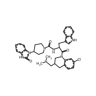 CN(C)CC1Cc2ccc(Cl)cc2N(C(=O)C(Cc2c[nH]c3ccccc23)NC(=O)N2CCC(n3c(=O)[nH]c4ccccc43)CC2)C1